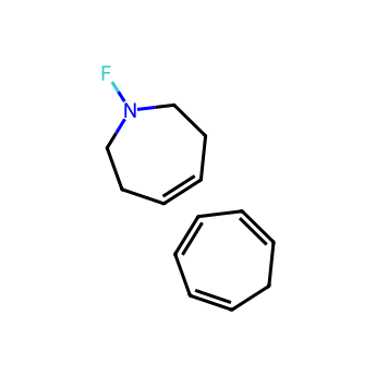 C1=CC=CCC=C1.FN1CCC=CCC1